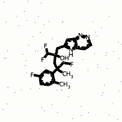 Cc1ccc(F)cc1C(C)(CF)CC(O)(Cc1cc2nnccc2[nH]1)C(F)F